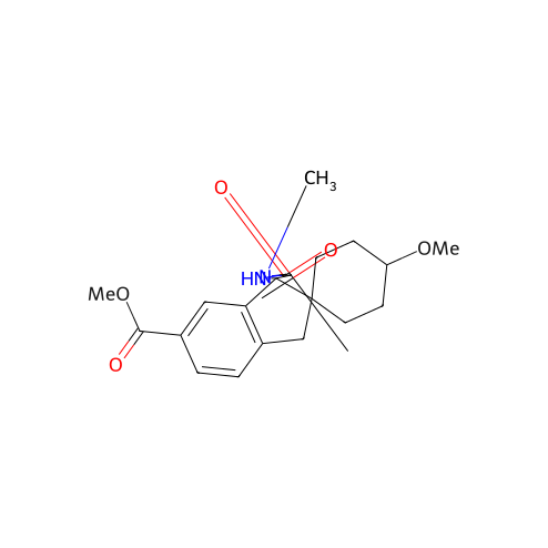 COC(=O)c1ccc2c(c1)C1(NC(=O)N(C)C1=O)C1(CCC(OC)CC1)C2